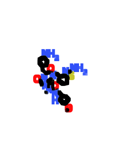 COc1ccc(CNC(=O)N(C)N2CC(=O)N3[C@@H](Cc4ccc(N)cc4)C(=O)N(Cc4cccc5sc(N)nc45)C[C@@H]32)cc1